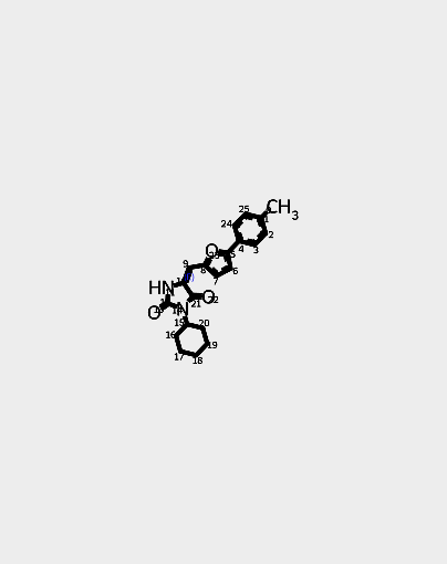 Cc1ccc(-c2ccc(/C=C3/NC(=O)N(C4CCCCC4)C3=O)o2)cc1